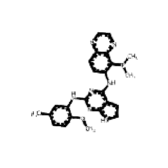 COc1ccc(C)cc1Nc1nc(Nc2ccc3nccnc3c2P(C)C)c2cc[nH]c2n1